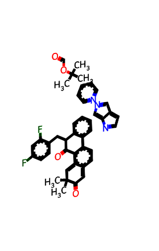 C1=NC=C2N=CC=C12.CC(C)(C)OC=O.CC1(C)C=c2c3c(ccc2=CC1=O)-c1ccccc1C(Cc1ccc(F)cc1F)C3=O.c1ccncc1